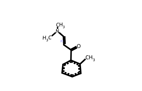 Cc1ccccc1C(=O)/C=C/N(C)C